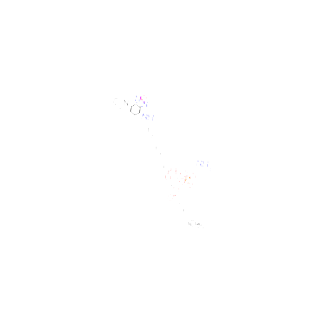 CCCCCCCCCCCCCCCC(=O)OC[C@H](COP(=O)(O)OCCN)OC(=O)CCCCCCCCCCCNc1ccc([N+](=O)[O-])c2nonc12